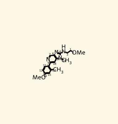 COCCNc1nc2cnc(-c3ccc(OC)cc3C)cc2n1C